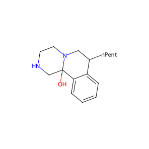 CCCCCC1CN2CCNCC2(O)c2ccccc21